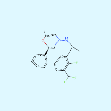 CC1=CN(NC(C)c2cccc(C(F)F)c2F)C[C@@H](c2ccccc2)O1